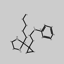 CCCCCC1(C2(CCSc3ccccc3)CC2)OCCO1